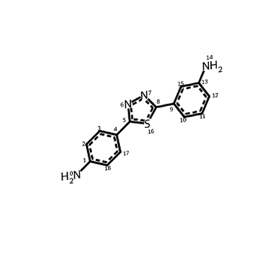 Nc1ccc(-c2nnc(-c3cccc(N)c3)s2)cc1